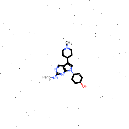 CCC[C@H](C)Nc1ncc2c(C3CCN(C)CC3)cn([C@H]3CC[C@H](O)CC3)c2n1